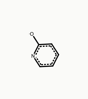 [O]c1ccccn1